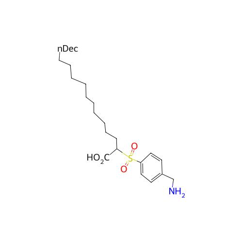 CCCCCCCCCCCCCCCCCCCCC(C(=O)O)S(=O)(=O)c1ccc(CN)cc1